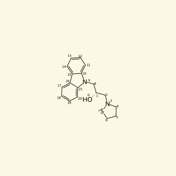 O[C@@H](CN1CCCS1)Cn1c2ccccc2c2ccccc21